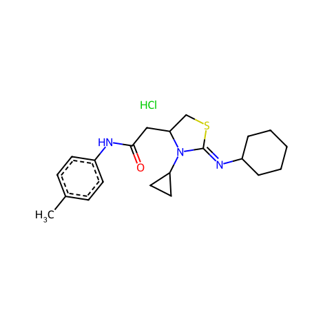 Cc1ccc(NC(=O)CC2CS/C(=N\C3CCCCC3)N2C2CC2)cc1.Cl